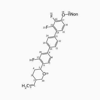 C=CC1CCC(c2ccc(-c3ccc(-c4ccc(OCCCCCCCCC)c(F)c4F)cc3)cc2F)OC1